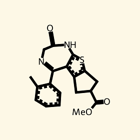 COC(=O)C1Cc2sc3c(c2C1)C(c1ccccc1C)=NCC(=O)N3